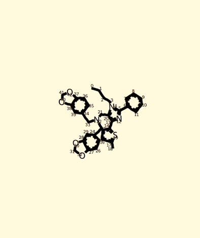 CCCCn1c(-c2ccccc2)nc(-c2ccc(C)s2)c1CN(Cc1ccc2c(c1)OCO2)Cc1ccc2c(c1)OCO2